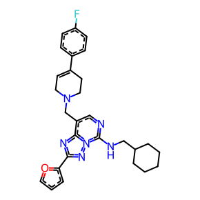 Fc1ccc(C2=CCN(Cc3cnc(NCC4CCCCC4)n4nc(-c5ccco5)nc34)CC2)cc1